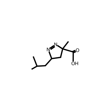 CC(C)CC1CC(C)(C(=O)O)N=N1